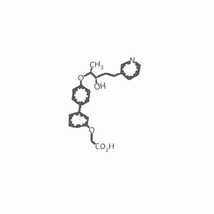 C[C@H](Oc1ccc(-c2cccc(OCC(=O)O)c2)cc1)[C@H](O)CCc1cccnc1